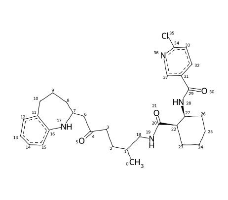 CC(CCC(=O)CC1CCCc2ccccc2N1)CNC(=O)[C@@H]1CCCC[C@@H]1NC(=O)c1ccc(Cl)nc1